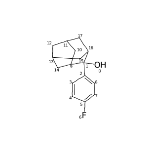 OC1(c2ccc(F)cc2)C2CC3CC(C2)CC1C3